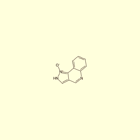 [O-][n+]1[nH]cc2cnc3ccccc3c21